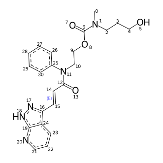 CN(CCCO)C(=O)OCCN(C(=O)/C=C/c1n[nH]c2ncccc12)c1ccccc1